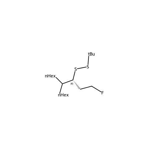 CCCCCCC(CCCCCC)[C@@H](CCF)SSC(C)(C)C